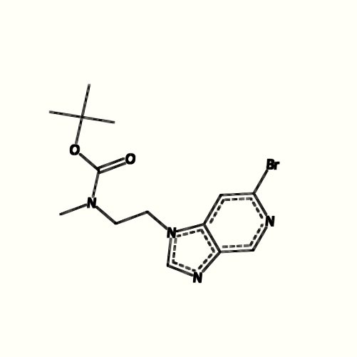 CN(CCn1cnc2cnc(Br)cc21)C(=O)OC(C)(C)C